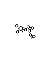 CC/C1=C(\c2cccc(C3CC=Cc4c3c3c(c5ccccc45)C=C(c4ccc5sc6ccccc6c5c4)CC3)c2)[C@H](C)CC[C@H](C2=CC=CCC2)/N=C(/c2ccccc2)C1